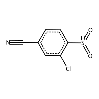 N#Cc1ccc([SH](=O)=O)c(Cl)c1